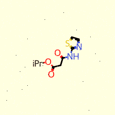 CC(C)OC(=O)CC(=O)Nc1nccs1